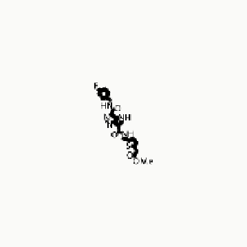 COC(=O)Cc1ccc(CNC(=O)c2c[nH]c3c(C(=O)NCc4ccc(F)cc4)ncnc23)s1